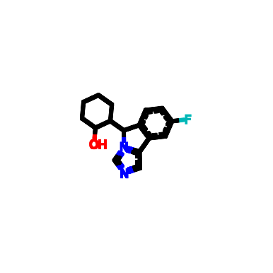 OC1CCCCC1C1c2ccc(F)cc2-c2cncn21